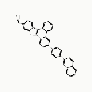 N=Cc1ccc2c(c1)sc1c3ccc(-c4ccc(-c5ccc6ccccc6c5)cc4)cc3c3ccccc3c21